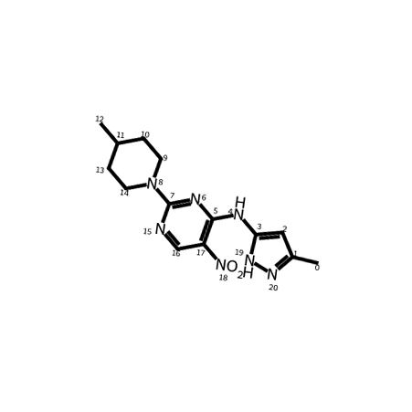 Cc1cc(Nc2nc(N3CCC(C)CC3)ncc2[N+](=O)[O-])[nH]n1